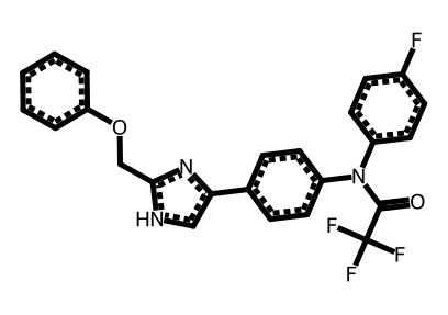 O=C(N(c1ccc(F)cc1)c1ccc(-c2c[nH]c(COc3ccccc3)n2)cc1)C(F)(F)F